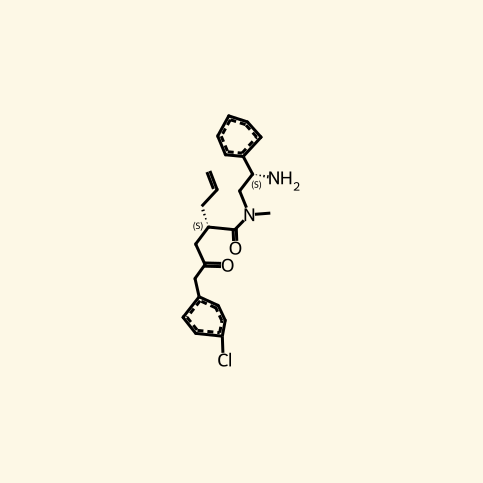 C=CC[C@@H](CC(=O)Cc1ccc(Cl)cc1)C(=O)N(C)C[C@@H](N)c1ccccc1